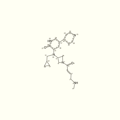 CNCC=CC(=O)N1CC(N(CC2CC2)c2cc(-c3ccncc3)c[nH]c2=O)C1